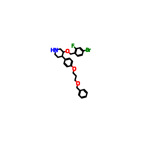 Fc1cc(Br)ccc1COC1CNCCC1c1ccc(OCCCOCc2ccccc2)cc1